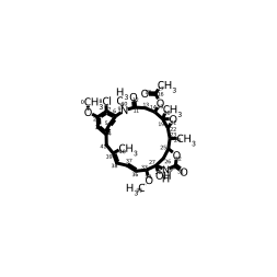 COc1cc2cc(c1Cl)N(C)C(=O)CC(OC(C)=O)C1(C)OC1C(C)C1CC(O)(NC(=O)O1)C(OC)/C=C/C=C(\C)C2